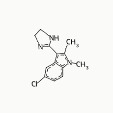 Cc1c(C2=NCCN2)c2cc(Cl)ccc2n1C